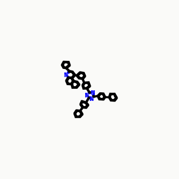 c1ccc(-c2ccc(-c3nc(-c4ccc(-c5ccccc5)cc4)nc(-c4ccc(-c5cccc(-c6cc(-c7ccccc7)nc7ccc8ccccc8c67)c5)cc4)n3)cc2)cc1